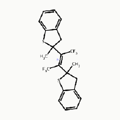 CC1(/C(=C(\C(F)(F)F)C2(C)Cc3ccccc3S2)C(F)(F)F)Cc2ccccc2S1